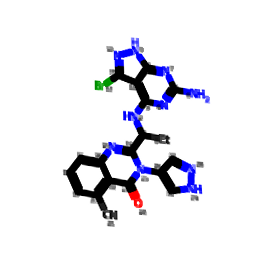 CCC(Nc1nc(N)nc2[nH]nc(Br)c12)c1nc2cccc(C#N)c2c(=O)n1-c1cn[nH]c1